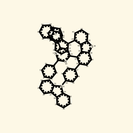 c1ccc(-c2nc(-c3ccccc3)nc(-c3c(-c4ccc(-n5c6ccccc6c6ccccc65)cc4)ccc4sc5cccc(-c6cccc7c6sc6ccccc67)c5c34)n2)cc1